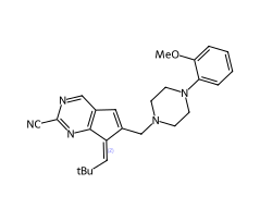 COc1ccccc1N1CCN(CC2=Cc3cnc(C#N)nc3/C2=C\C(C)(C)C)CC1